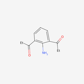 CCC(=O)c1cccc(C(=O)CC)c1N